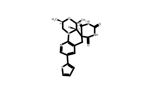 C[C@@H]1CN2c3ncc(-c4cccs4)cc3CC3(C(=O)NC(=O)NC3=O)[C@H]2[C@H](C)O1